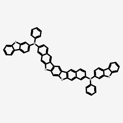 c1ccc(N(c2ccc3cc4c(cc3c2)oc2cc3oc5cc6cc(N(c7ccccc7)c7ccc8c(c7)sc7ccccc78)ccc6cc5c3cc24)c2ccc3c(c2)sc2ccccc23)cc1